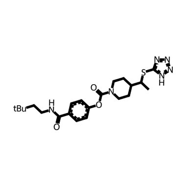 CC(Sc1nnn[nH]1)C1CCN(C(=O)Oc2ccc(C(=O)NCCC(C)(C)C)cc2)CC1